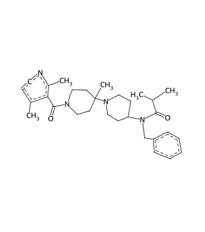 Cc1ccnc(C)c1C(=O)N1CCC(C)(N2CCC(N(Cc3ccccc3)C(=O)C(C)C)CC2)CC1